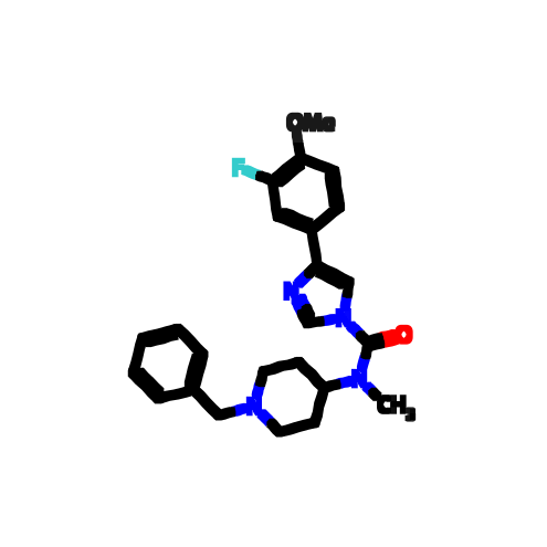 COc1ccc(-c2cn(C(=O)N(C)C3CCN(Cc4ccccc4)CC3)cn2)cc1F